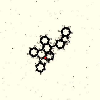 CCc1nc2ccccc2n1-c1ccccc1-c1c2ccccc2c(-c2ccc3sc4ccccc4c3c2)c2ccccc12